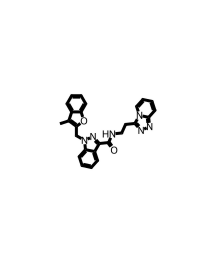 Cc1c(Cn2nc(C(=O)NCCc3nnc4ccccn34)c3ccccc32)oc2ccccc12